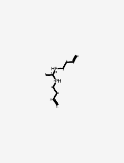 C=CCCPC(C)PCCC=C